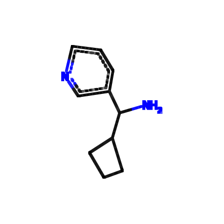 NC(c1cccnc1)C1CCC1